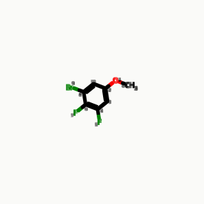 COc1cc(F)c(F)c(Br)c1